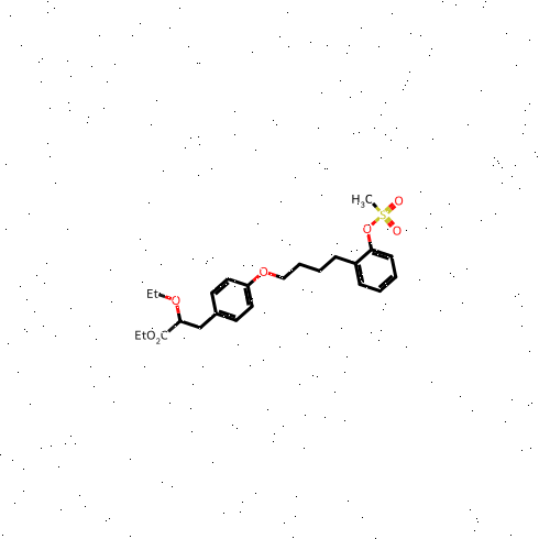 CCOC(=O)C(Cc1ccc(OCCCCc2ccccc2OS(C)(=O)=O)cc1)OCC